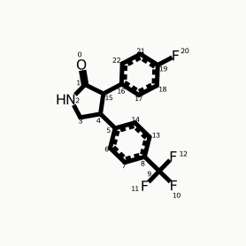 O=C1NCC(c2ccc(C(F)(F)F)cc2)C1c1ccc(F)cc1